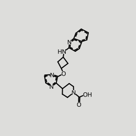 O=C(O)N1CCC(c2nccnc2OC2CC(Nc3ccc4ccccc4n3)C2)CC1